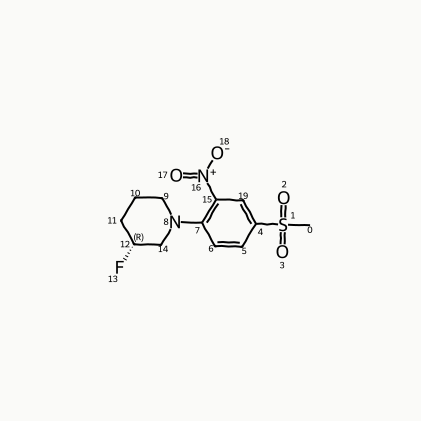 CS(=O)(=O)c1ccc(N2CCC[C@@H](F)C2)c([N+](=O)[O-])c1